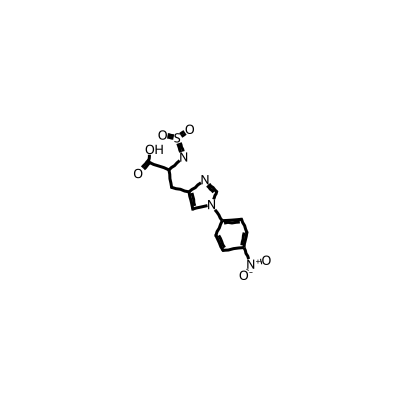 O=C(O)C(Cc1cn(-c2ccc([N+](=O)[O-])cc2)cn1)N=S(=O)=O